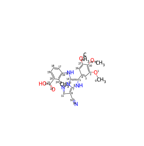 COc1cc(-c2[nH]c3c(C#N)cnn3c2Nc2cccc(C(=O)O)c2C)cc(OC)c1OC